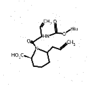 C=CCC1CCC[C@@H](C(=O)O)N1C(=O)[C@H](C=C)NC(=O)OC(C)(C)C